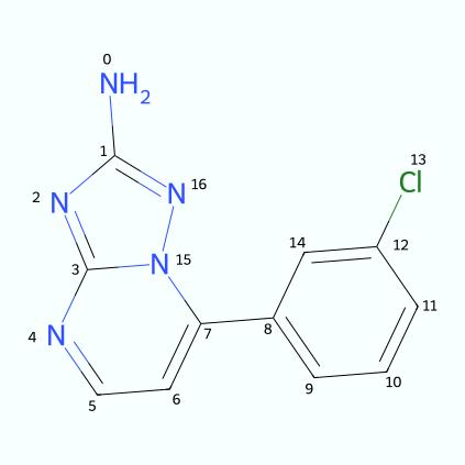 Nc1nc2nccc(-c3cccc(Cl)c3)n2n1